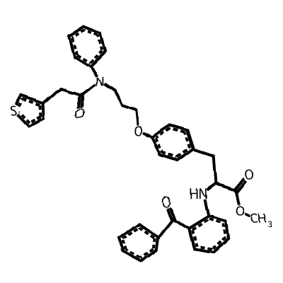 COC(=O)C(Cc1ccc(OCCCN(C(=O)Cc2ccsc2)c2ccccc2)cc1)Nc1ccccc1C(=O)c1ccccc1